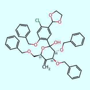 C=C1[C@@H](COCc2ccccc2)OC(O)(c2cc(C3OCCO3)c(Cl)cc2OCc2ccccc2)[C@H](OCc2ccccc2)[C@H]1OCc1ccccc1